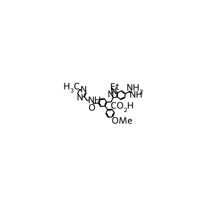 CCn1nc(Cc2ccc(C(=O)NCc3cnc(C)cn3)cc2-c2ccc(OC)cc2C(=O)O)c2ccc(C(=N)N)cc21